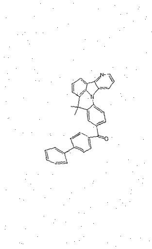 CC1(C)c2cc(C(=O)c3ccc(-c4ccccc4)cc3)ccc2-n2c3cccnc3c3cccc1c32